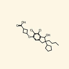 CCCCC1(C2CCCC2)Cc2cc(OC3CC(C(=O)O)C3)c(Cl)c(Cl)c2C1O